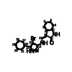 O=C1Nc2ccccc2C1=CNc1n[nH]c(-c2ccccc2)c1Br